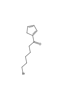 O=C(CCCCCBr)C1=CC=CC1